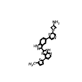 Cc1ccc(-c2ccnc3[nH]c(-c4n[nH]c5ccc(-c6cncc(N7CC(N)C7)n6)cc45)nc23)s1